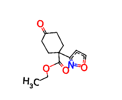 CCOC(=O)C1(c2ccon2)CCC(=O)CC1